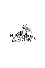 COC(=O)[C@H](NCc1ccc(OC)c(C2=C(CN3C(=O)O[C@H](c4cc(C)cc(C(F)(F)F)c4)[C@@H]3C)CC(C)(C)CC2)c1)C(C)C